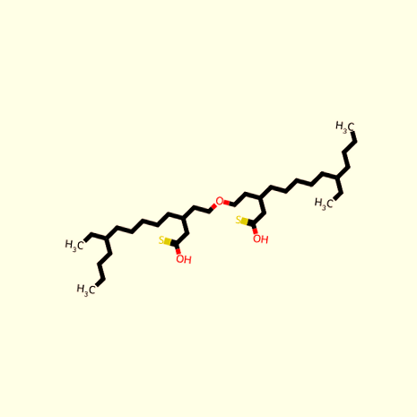 CCCCC(CC)CCCCCC(CCOCCC(CCCCCC(CC)CCCC)CC(O)=S)CC(O)=S